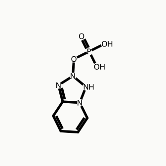 O=P(O)(O)ON1N=C2C=CC=CN2N1